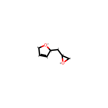 C1=CC(CC2CO2)OC1